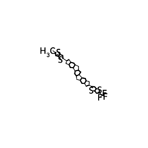 Cc1cc2sc(C3=Cc4cc5c(cc4C3)-c3cc4c(cc3C5)-c3cc5c(cc3C4)C=C(c3cc4sc(C(F)(F)F)cc4s3)C5)cc2s1